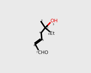 CCC(C)(O)C/C=C/C=O